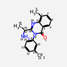 Cc1cccc2c(=O)n(-c3cccc(C(F)(F)F)c3)c([C@H](C)N)nc12